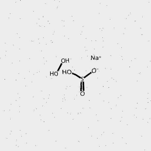 O=S([O-])O.OO.[Na+]